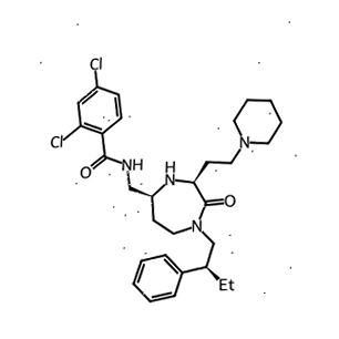 CC[C@H](CN1CC[C@@H](CNC(=O)c2ccc(Cl)cc2Cl)N[C@@H](CCN2CCCCC2)C1=O)c1ccccc1